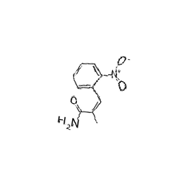 CC(=Cc1ccccc1[N+](=O)[O-])C(N)=O